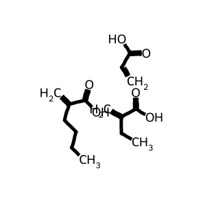 C=C(CC)C(=O)O.C=C(CCCC)C(=O)O.C=CC(=O)O